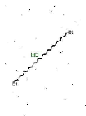 CC/C=C/C=C/C=C/C=C/C=C/C=C/C=C/C=C/C=C/C/C=C/C=C/CC.Cl